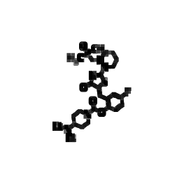 CCN(CC)C1CCN(C(=O)Oc2ccc(F)cc2/C=C2\SC(N3CCCCN3CP(C)(C)=O)=NC2=O)CC1